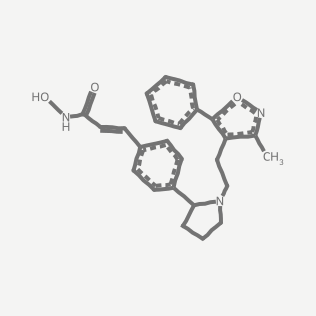 Cc1noc(-c2ccccc2)c1CCN1CCCC1c1ccc(C=CC(=O)NO)cc1